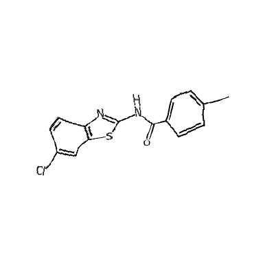 Cc1ccc(C(=O)Nc2nc3ccc(Cl)cc3s2)cc1